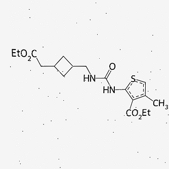 CCOC(=O)CC1CC(CNC(=O)Nc2scc(C)c2C(=O)OCC)C1